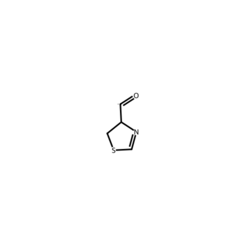 O=[C]C1CSC=N1